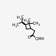 COC(=O)CC1CC(=C(C)C)C1(C)C